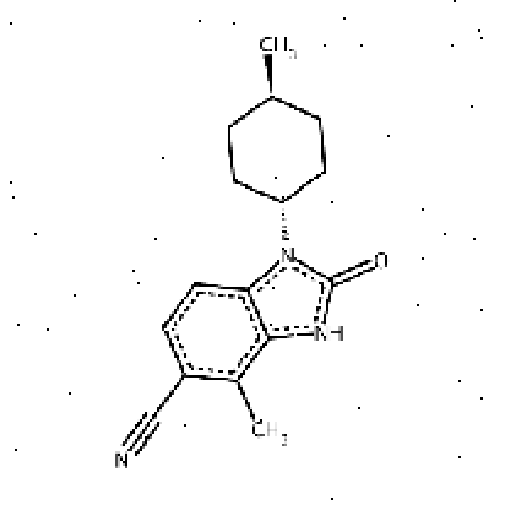 Cc1c(C#N)ccc2c1[nH]c(=O)n2[C@H]1CC[C@H](C)CC1